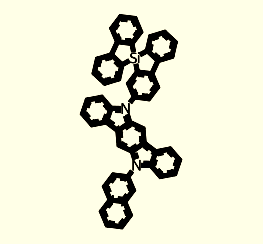 c1ccc2c(c1)-c1ccccc1[Si]21c2ccccc2-c2ccc(-n3c4ccccc4c4cc5c(cc43)c3ccccc3n5-c3ccc4ccccc4c3)cc21